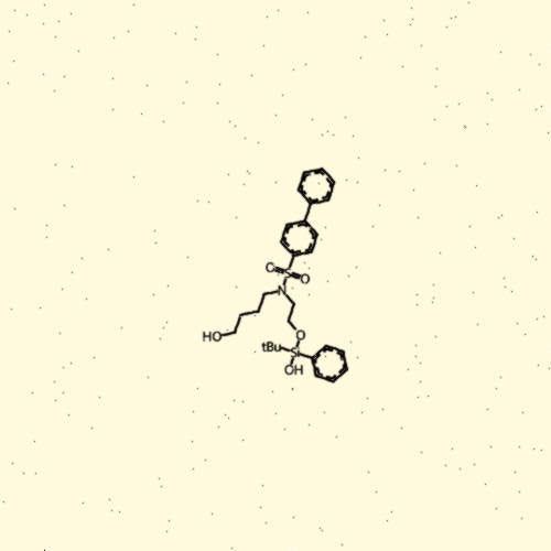 CC(C)(C)[Si](O)(OCCN(CCCCO)S(=O)(=O)c1ccc(-c2ccccc2)cc1)c1ccccc1